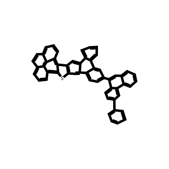 c1ccc(-c2ccc3c(-c4ccc5c(c4)c4ccccc4c4cc6c(cc54)sc4c5cccc7ccc8cccc(c64)c8c75)cc4ccccc4c3c2)cc1